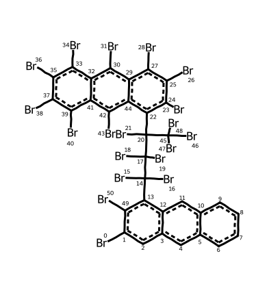 Brc1cc2cc3ccccc3cc2c(C(Br)(Br)C(Br)(Br)C(Br)(c2c(Br)c(Br)c(Br)c3c(Br)c4c(Br)c(Br)c(Br)c(Br)c4c(Br)c23)C(Br)(Br)Br)c1Br